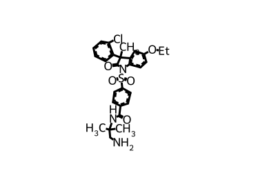 CCOc1ccc2c(c1)C(C)(c1ccccc1Cl)C(=O)N2S(=O)(=O)c1ccc(C(=O)NC(C)(C)CN)cc1